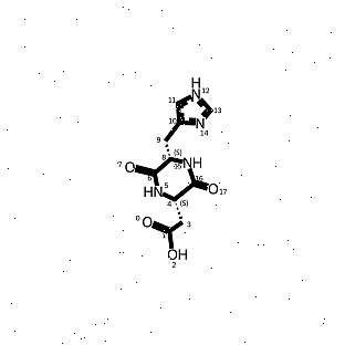 O=C(O)C[C@@H]1NC(=O)[C@H](Cc2c[nH]cn2)NC1=O